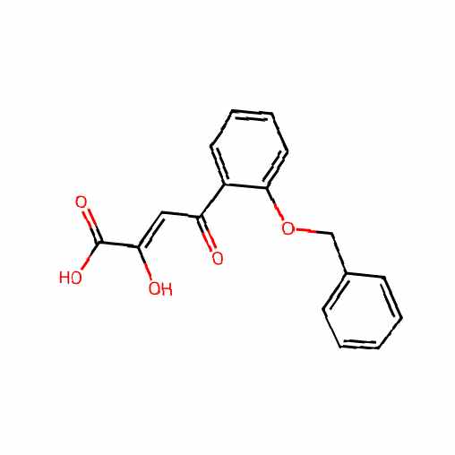 O=C(O)/C(O)=C/C(=O)c1ccccc1OCc1ccccc1